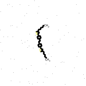 CCCCCCc1csc(-c2ccc(/C=C/c3ccc(-c4cc(CCCCCC)cs4)cc3)cc2)c1